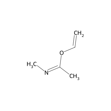 C=CO/C(C)=N\C